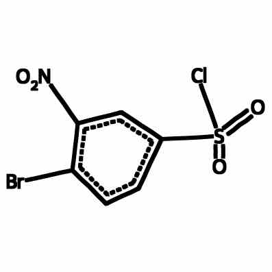 O=[N+]([O-])c1cc(S(=O)(=O)Cl)ccc1Br